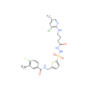 O=C(CCCNc1ncc(C(F)(F)F)cc1Cl)NNS(=O)(=O)c1ccc(CNC(=O)c2ccc(F)c([N+](=O)[O-])c2)s1